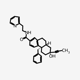 CC#C[C@@]1(O)CC[C@@]2(Cc3ccccc3)c3ccc(C(=O)NCCc4ccccn4)cc3CC[C@@H]2C1